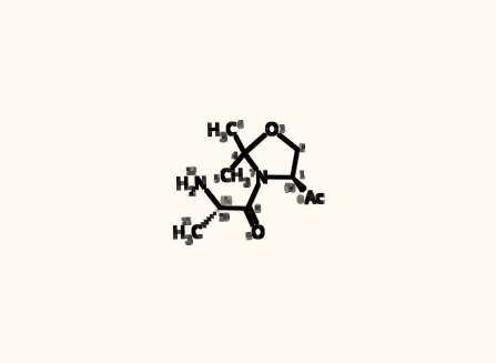 CC(=O)[C@@H]1COC(C)(C)N1C(=O)[C@H](C)N